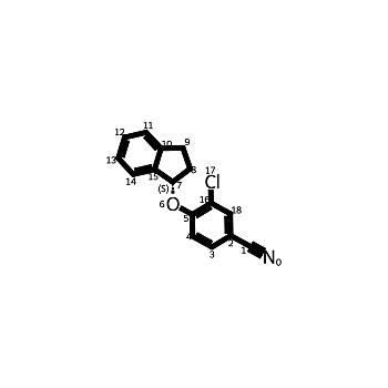 N#Cc1ccc(O[C@H]2CCc3ccccc32)c(Cl)c1